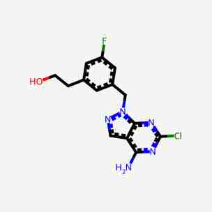 Nc1nc(Cl)nc2c1cnn2Cc1cc(F)cc(CCO)c1